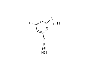 Cl.F.F.F.F.Fc1cc(F)cc([S])c1